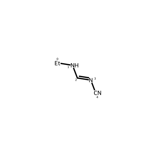 CCNC=NC#N